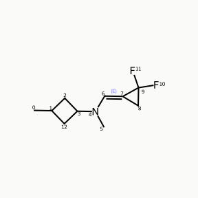 CC1CC(N(C)/C=C2\CC2(F)F)C1